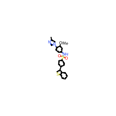 COc1cc(NS(=O)(=O)c2ccc(-c3csc4ccccc34)cc2)ccc1-n1cnc(C)c1